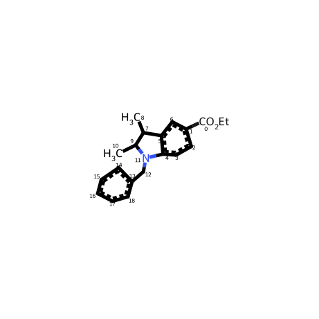 CCOC(=O)c1ccc2c(c1)C(C)C(C)N2Cc1ccccc1